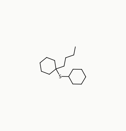 CCCCC1(SC2CCCCC2)CCCCC1